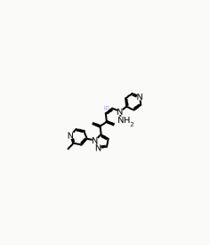 C=C(/C=C\N(N)c1ccncc1)C(=C)c1ccnn1-c1ccnc(C)c1